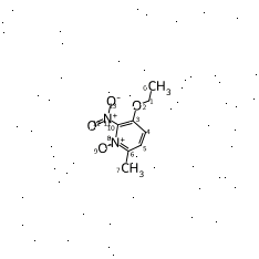 CCOc1ccc(C)[n+]([O-])c1[N+](=O)[O-]